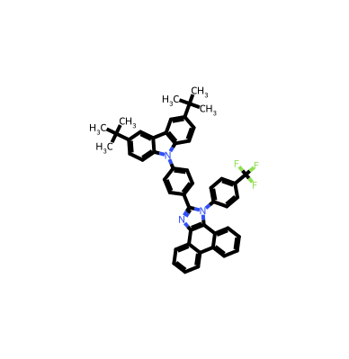 CC(C)(C)c1ccc2c(c1)c1cc(C(C)(C)C)ccc1n2-c1ccc(-c2nc3c4ccccc4c4ccccc4c3n2-c2ccc(C(F)(F)F)cc2)cc1